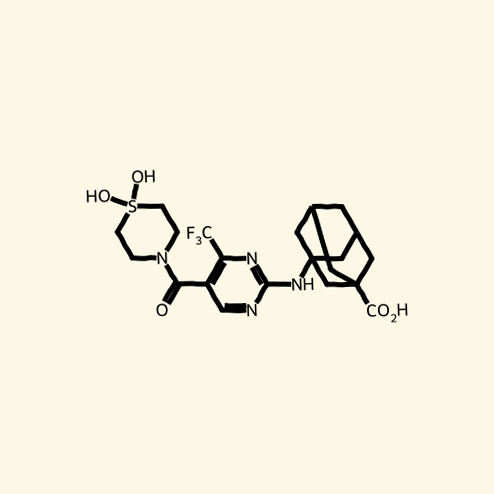 O=C(c1cnc(NC23CC4CC(C2)CC(C(=O)O)(C4)C3)nc1C(F)(F)F)N1CCS(O)(O)CC1